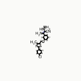 Cc1nc(-c2ccc(Cl)cc2)sc1COc1cccc(/C(N)=C(\C#N)NN)c1